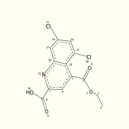 CCOC(=O)c1cc(C(=O)O)nc2cc(Cl)cc(Cl)c12